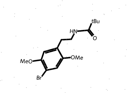 COc1cc(CCNC(=O)C(C)(C)C)c(OC)cc1Br